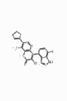 Cc1c(C2=CCCC2)cnc2c(-c3ccc(F)c4[nH]ncc34)c(N)c(=O)[nH]c12